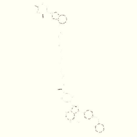 Nc1ncnc2c1c(-c1ccc(Oc3ccccc3)cc1)nn2C1CCN(C(=O)COCCOCCOCCOCCSc2cccc3cn(C4CCC(=O)NC4=O)cc23)CC1